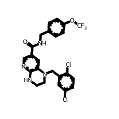 O=C(NCc1ccc(OC(F)(F)F)cc1)c1cnc2c(c1)N(Cc1cc(Cl)ccc1Cl)CCN2